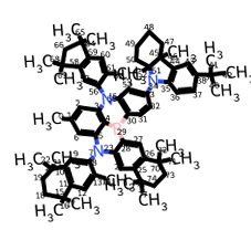 Cc1cc2c3c(c1)N(c1cc4c(cc1C)C(C)(C)CCC4(C)C)c1cc4c(cc1B3c1ccc(N3c5ccc(C(C)(C)C)cc5C5(C)CCCCC35C)cc1N2c1cc2c(cc1C)C(C)(C)CC2(C)C)C(C)(C)CCC4(C)C